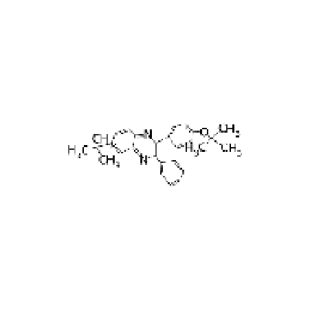 CC(C)(C)Oc1ccc(-c2nc3ccc(C(C)(C)C)cc3nc2-c2ccccc2)cc1